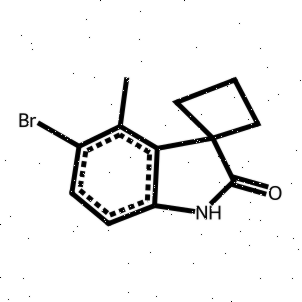 Cc1c(Br)ccc2c1C1(CCC1)C(=O)N2